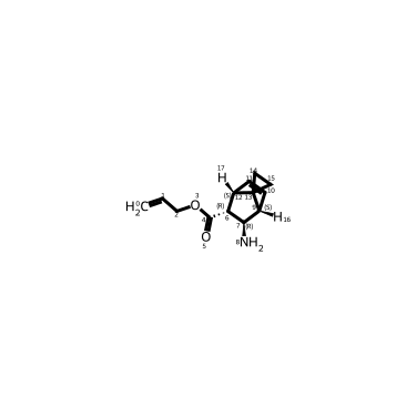 C=CCOC(=O)[C@H]1[C@H](N)[C@H]2C=C[C@@H]1C21CC1